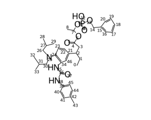 CCC(CC(=O)OC(C)OP(=O)(O)OCc1ccccc1)c1ccc(N(CC(C)C)CC(C)C)c(NC(=O)Nc2ccc(C)cc2)c1